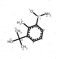 Cc1c([S+](N)[O-])cccc1C(C)(C)O